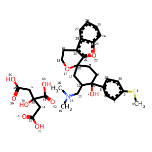 CSc1ccc(C2(O)CCC3(CC2CN(C)C)OCCc2c3oc3ccccc23)cc1.O=C(O)CC(O)(CC(=O)O)C(=O)O